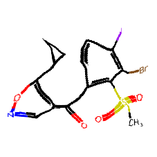 CS(=O)(=O)c1c(C(=O)c2cnoc2C2CC2)ccc(I)c1Br